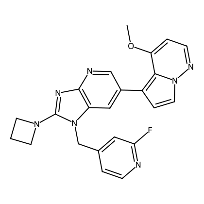 COc1ccnn2ccc(-c3cnc4nc(N5CCC5)n(Cc5ccnc(F)c5)c4c3)c12